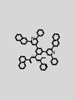 C=C(/C=C(\C=C(/CC)c1c#cccc1)c1cc(-c2cc(-c3ccccc3)nc(-c3ccc4ccccc4c3)c2)cc(-c2cc(-c3ccccc3)nc(-c3ccc4ccccc4c3)c2)c1)c1cccc2ccccc12